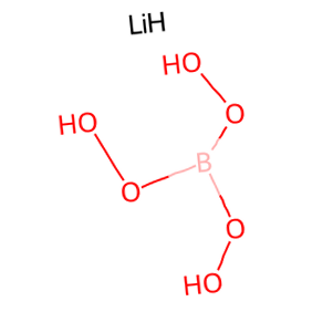 OOB(OO)OO.[LiH]